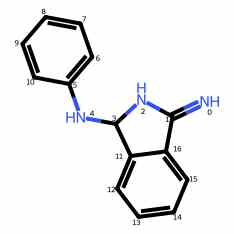 N=C1NC(Nc2ccccc2)c2ccccc21